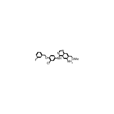 COCc1cc2ncnc(Nc3ccc(OCc4cccc(F)c4)c(Cl)c3)c2cc1N